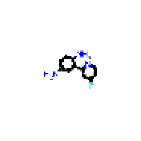 Nc1ccc(N)c(-c2cc(F)ccn2)c1